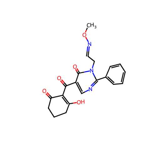 CON=CCn1c(-c2ccccc2)ncc(C(=O)C2=C(O)CCCC2=O)c1=O